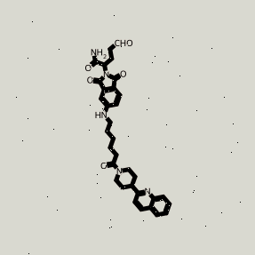 NC(=O)C(CCC=O)N1C(=O)c2ccc(NCCCCCC(=O)N3CCC(c4ccc5ccccc5n4)CC3)cc2C1=O